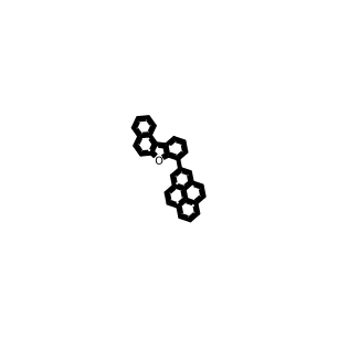 c1ccc2c(c1)ccc1oc3c(-c4cc5ccc6cccc7ccc(c4)c5c67)cccc3c12